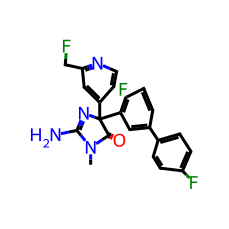 CN1C(=O)C(c2ccnc(CF)c2)(c2cc(-c3ccc(F)cc3)ccc2F)N=C1N